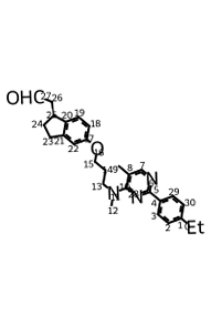 CCc1ccc(-c2ncc(C)c(N(C)CCCOc3ccc4c(c3)CC[C@H]4CC=O)n2)cc1